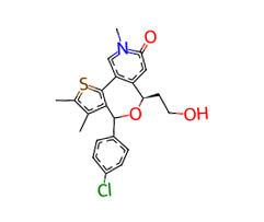 Cc1sc2c(c1C)C(c1ccc(Cl)cc1)O[C@H](CCO)c1cc(=O)n(C)cc1-2